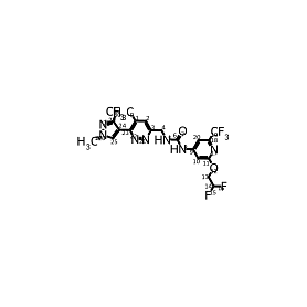 Cc1cc(CNC(=O)Nc2cc(OCC(F)F)nc(C(F)(F)F)c2)nnc1-c1cn(C)nc1C(F)(F)F